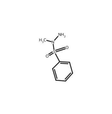 CN(N)S(=O)(=O)c1ccccc1